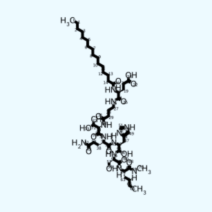 CCCCCCCCCCCCCCCC(O)N[C@@H](CCC(=O)O)C(=O)NCCCC(=O)N[C@H](C(=O)N[C@@H](CCC(N)=O)C(=O)N[C@@H](Cc1c[nH]cn1)C(O)N[C@@H](CO)C(=O)N[C@@H](CCCC)C(=O)NC)C(C)O